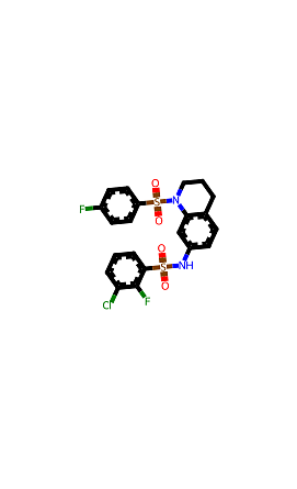 O=S(=O)(Nc1ccc2c(c1)N(S(=O)(=O)c1ccc(F)cc1)CCC2)c1cccc(Cl)c1F